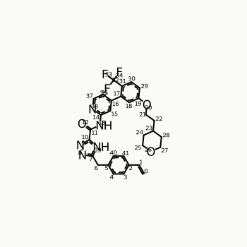 C=Cc1ccc(Cc2nnc(C(=O)Nc3cc(-c4cc(OCCC5CCOCC5)ccc4C(F)(F)F)ccn3)[nH]2)cc1